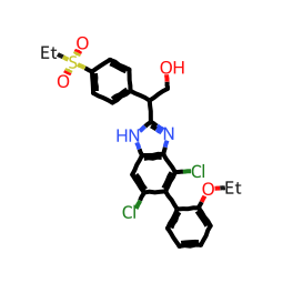 CCOc1ccccc1-c1c(Cl)cc2[nH]c(C(CO)c3ccc(S(=O)(=O)CC)cc3)nc2c1Cl